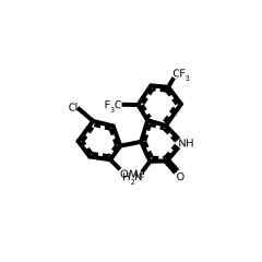 COc1ccc(Cl)cc1-c1c(N)c(=O)[nH]c2cc(C(F)(F)F)cc(C(F)(F)F)c12